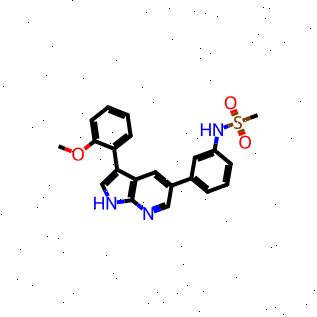 COc1ccccc1-c1c[nH]c2ncc(-c3cccc(NS(C)(=O)=O)c3)cc12